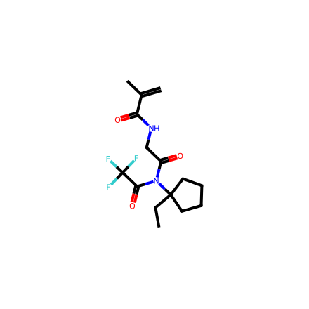 C=C(C)C(=O)NCC(=O)N(C(=O)C(F)(F)F)C1(CC)CCCC1